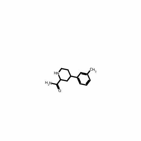 Cc1cccc(C2CCNC(C(N)=O)C2)c1